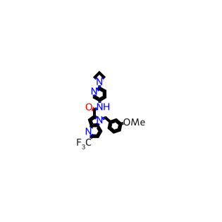 COc1cccc(Cn2c(C(=O)Nc3ccc(N4CCC4)nc3)cc3nc(C(F)(F)F)ccc32)c1